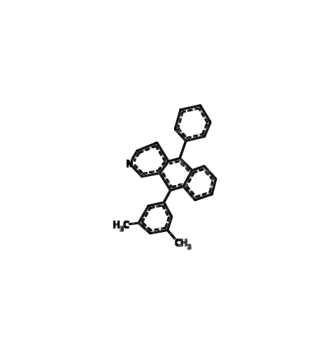 Cc1cc(C)cc(-c2c3ccccc3c(-c3ccccc3)c3ccncc23)c1